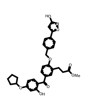 COC(=O)CCc1cc(C(=O)c2ccc(OC3CCCC3)cc2O)ccc1OCc1ccc(-c2cc(O)no2)cc1